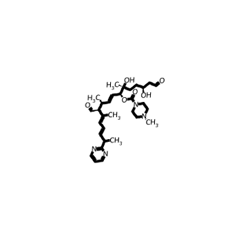 C/C(=C\C=C\C(C)c1ncccn1)[C@@H](C=O)[C@@H](C)/C=C/[C@H](OC(=O)N1CCN(C)CC1)[C@@](C)(O)CC[C@H](O)CC=O